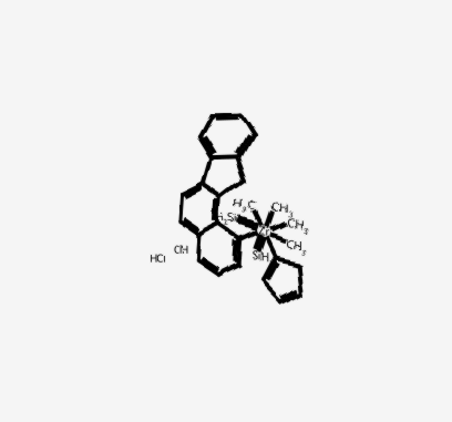 Cl.Cl.[CH3][Zr]([CH3])([CH3])([CH3])(=[SiH2])(=[SiH2])([C]1=CC=CC1)[c]1cccc2ccc3c(c12)Cc1ccccc1-3